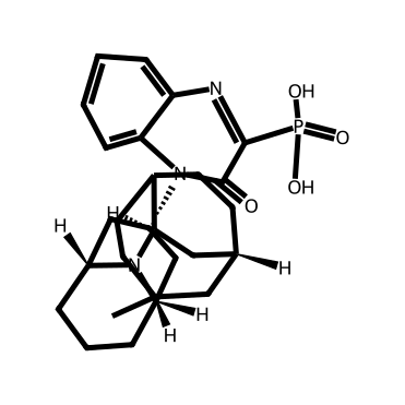 C[C@@H]1CCC2CC[C@H](C1)C[C@H]2N1[C@@H]2CCC[C@H]1C[C@@H](n1c(=O)c(P(=O)(O)O)nc3ccccc31)C2